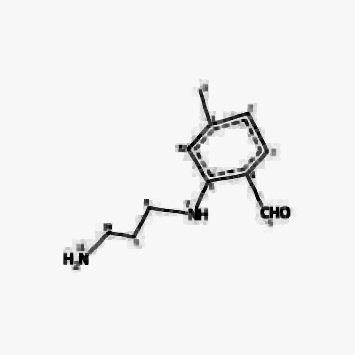 Cc1ccc(C=O)c(NCCCN)c1